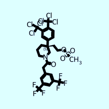 CS(=O)(=O)OCC[C@]1(c2ccc(C(Cl)(Cl)Cl)c(C(Cl)(Cl)Cl)c2)CCCN(C(=O)Cc2cc(C(F)(F)F)cc(C(F)(F)F)c2)C1